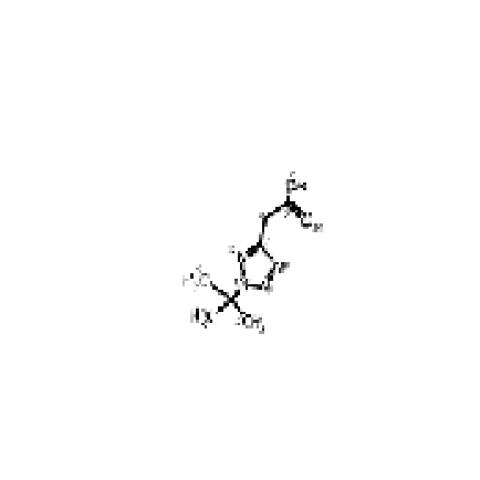 CC(C)(C)n1nnc(CC(=O)O)n1